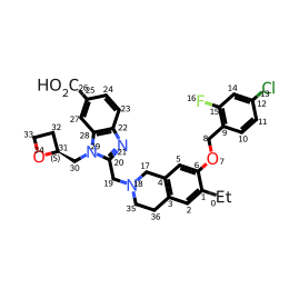 CCc1cc2c(cc1OCc1ccc(Cl)cc1F)CN(Cc1nc3ccc(C(=O)O)cc3n1C[C@@H]1CCO1)CC2